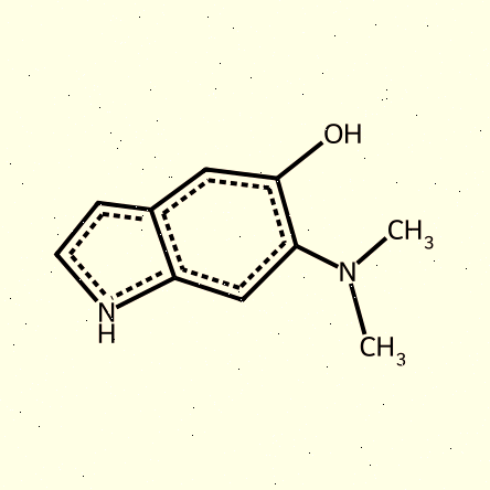 CN(C)c1cc2[nH]ccc2cc1O